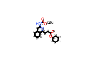 CC(C)(C)OC(=O)Nc1cc2ccccc2c(CCC(=O)OC2CCCCC2)n1